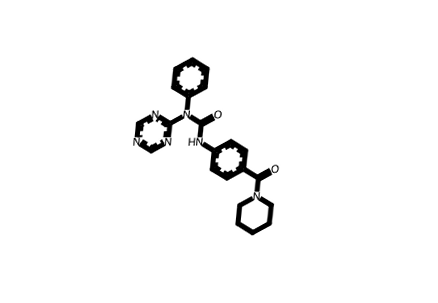 O=C(c1ccc(NC(=O)N(c2ccccc2)c2ncncn2)cc1)N1CCCCC1